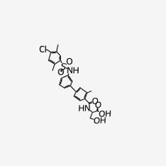 Cc1cc(S(=O)(=O)Nc2cccc(-c3ccc(C(=O)NC(CO)C(=O)O)c(C)c3)c2)c(C)cc1Cl